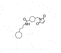 O=C(NCCCC1CCCCCC1)C1CCC(CN2C(=O)C=CC2=O)CC1